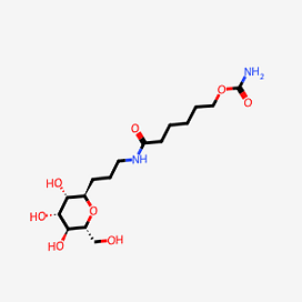 NC(=O)OCCCCCC(=O)NCCC[C@H]1O[C@H](CO)[C@@H](O)[C@H](O)[C@@H]1O